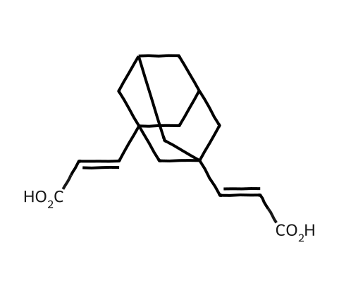 O=C(O)/C=C/C12CC3CC(C1)CC(/C=C/C(=O)O)(C3)C2